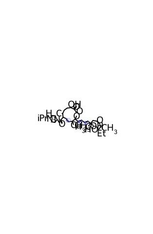 CCC(O)C(C)C1OC1CC(C)(O)/C=C/C=C(\C)C1OC(=O)C(=O)C(O)CCC(C)C(C(=O)N2CCN(C(C)C)CC2)/C=C/C1C